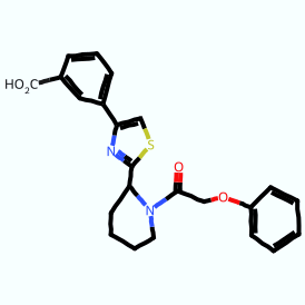 O=C(O)c1cccc(-c2csc(C3CCCCN3C(=O)COc3ccccc3)n2)c1